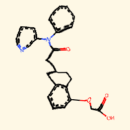 O=C(O)COc1cccc2c1CCC(CC(=O)N(c1ccccc1)c1cccnc1)C2